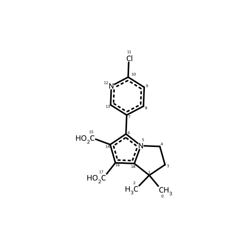 CC1(C)CCn2c(-c3ccc(Cl)nc3)c(C(=O)O)c(C(=O)O)c21